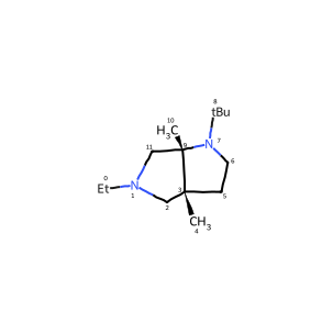 CCN1C[C@@]2(C)CCN(C(C)(C)C)[C@@]2(C)C1